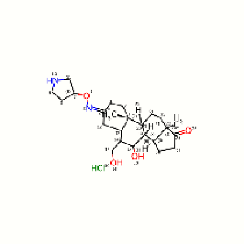 C[C@]12CCC(=NO[C@H]3CCNC3)CC1C(CO)C(O)[C@@H]1[C@H]2CC[C@]2(C)C(=O)CC[C@@H]12.Cl